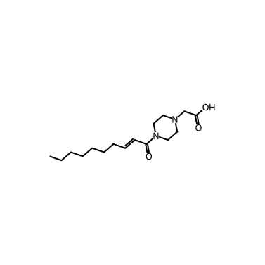 CCCCCCC/C=C/C(=O)N1CCN(CC(=O)O)CC1